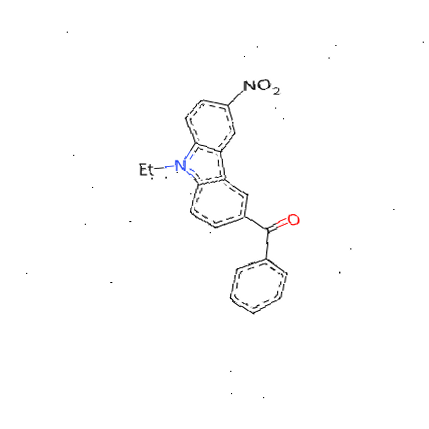 CCn1c2ccc(C(=O)c3ccccc3)cc2c2cc([N+](=O)[O-])ccc21